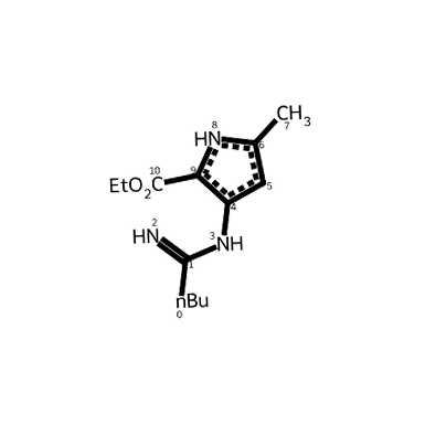 CCCCC(=N)Nc1cc(C)[nH]c1C(=O)OCC